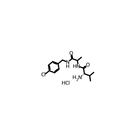 CC(NC(=O)[C@@H](N)C(C)C)C(=O)NCc1ccc(Cl)cc1.Cl